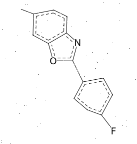 Cc1ccc2nc(-c3ccc(F)cc3)oc2c1